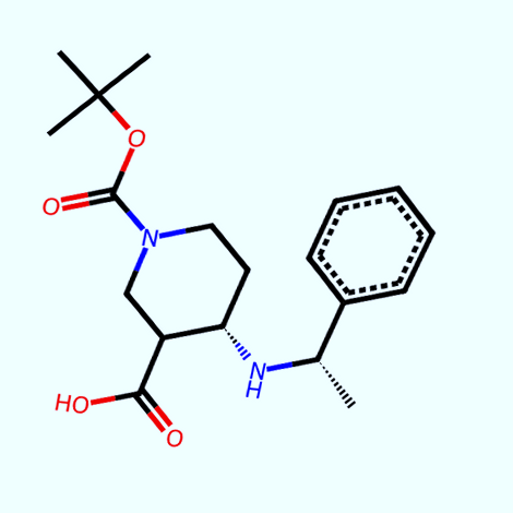 C[C@H](N[C@H]1CCN(C(=O)OC(C)(C)C)CC1C(=O)O)c1ccccc1